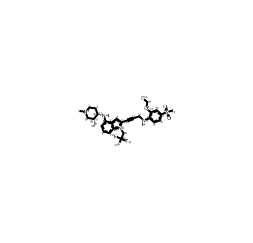 CN1CC[C@H](Nc2cccc3c2cc(C#CCNc2ccc(S(C)(=O)=O)cc2OCF)n3CC(F)(F)F)[C@H](F)C1